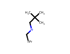 CCCC[N]CC(C)(C)C